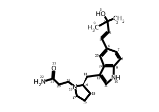 CC(C)(O)C=Cc1ccc2[nH]cc(C[C@H]3CCCN3CCC(N)=O)c2c1